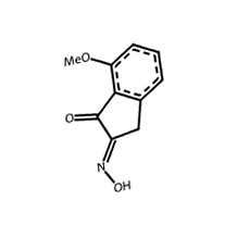 COc1cccc2c1C(=O)C(=NO)C2